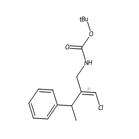 CC(/C(=C\Cl)CNC(=O)OC(C)(C)C)c1ccccc1